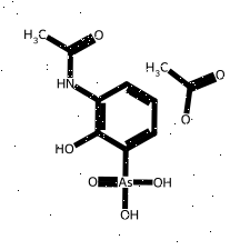 CC(=O)Nc1cccc([As](=O)(O)O)c1O.CC([O])=O